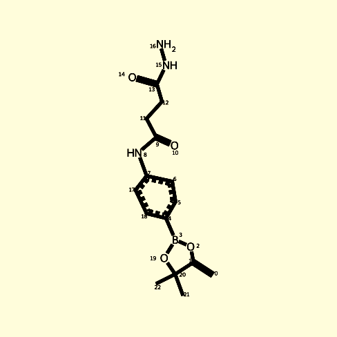 C=C1OB(c2ccc(NC(=O)CCC(=O)NN)cc2)OC1(C)C